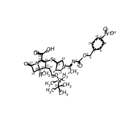 CC(=NC(=O)OCc1ccc([N+](=O)[O-])cc1)N1CCC(SC2=C(C(=O)O)N3C(=O)C[C@@H]3[C@]2(C)CCO[Si](C)(C)C(C)(C)C)C1